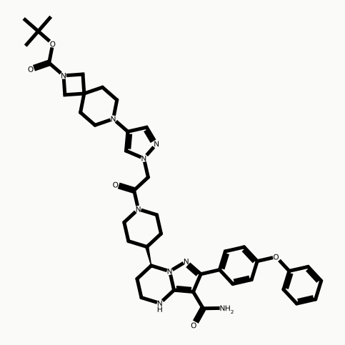 CC(C)(C)OC(=O)N1CC2(CCN(c3cnn(CC(=O)N4CCC([C@@H]5CCNc6c(C(N)=O)c(-c7ccc(Oc8ccccc8)cc7)nn65)CC4)c3)CC2)C1